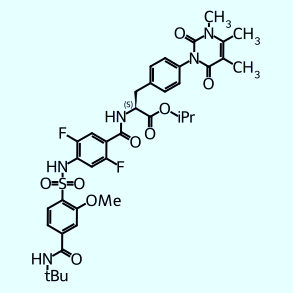 COc1cc(C(=O)NC(C)(C)C)ccc1S(=O)(=O)Nc1cc(F)c(C(=O)N[C@@H](Cc2ccc(-n3c(=O)c(C)c(C)n(C)c3=O)cc2)C(=O)OC(C)C)cc1F